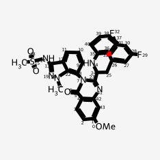 COc1ccc2c(=O)n(-c3cccc4c(NS(C)(=O)=O)nn(C)c34)c(C(Cc3cc(F)cc(F)c3)Nc3ccccc3)nc2c1